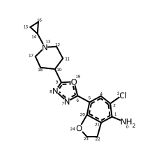 Nc1c(Cl)cc(-c2nnc(C3CCN(C4CC4)CC3)o2)c2c1CCO2